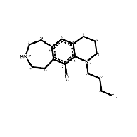 FCCCN1CCCc2cc3c(c(Br)c21)CCNCC3